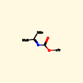 CCCOC(=O)N=C(SC)SC